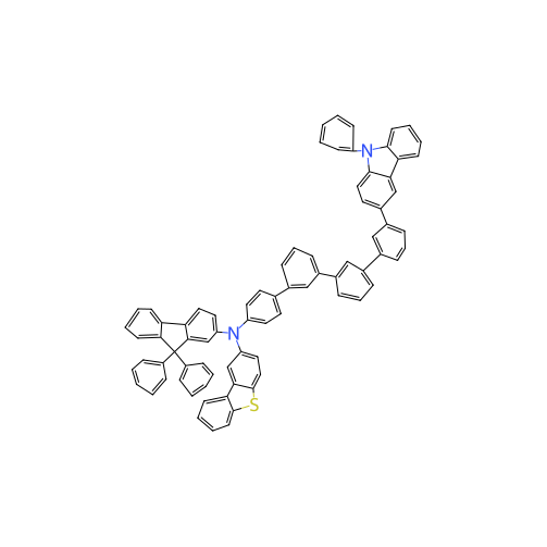 c1ccc(-n2c3ccccc3c3cc(-c4cccc(-c5cccc(-c6cccc(-c7ccc(N(c8ccc9c(c8)C(c8ccccc8)(c8ccccc8)c8ccccc8-9)c8ccc9sc%10ccccc%10c9c8)cc7)c6)c5)c4)ccc32)cc1